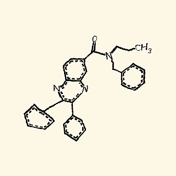 CCCN(Cc1ccccc1)C(=O)c1ccc2nc(-c3ccccc3)c(-c3ccccc3)nc2c1